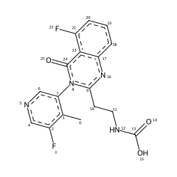 Cc1c(F)cncc1-n1c(CCNC(=O)O)nc2cccc(F)c2c1=O